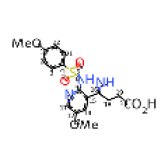 COc1ccc(S(=O)(=O)Nc2ncc(OC)cc2C(=N)CCC(=O)O)cc1